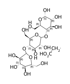 OC[C@H]1OC(O[C@H]2[C@H](O)[C@@H](O)C(O[C@H]3[C@H](O)[C@@H](O)[C@@H](O)O[C@@H]3CO)O[C@@H]2CO)[C@H](O)[C@@H](O)[C@@H]1O.[CH2]C(=O)O